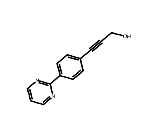 OCC#Cc1ccc(-c2ncccn2)cc1